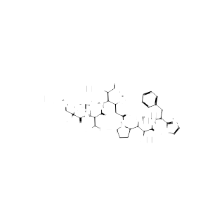 CCC(C)C(C(CC(=O)N1CCCC1C(OC)C(C)C(=O)NC(Cc1ccccc1)c1nccs1)OC)N(C)C(=O)C(NC(=O)C(C)(C)CNC)C(C)C